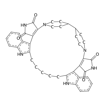 O=C1NC(=O)C2=C1c1c([nH]c3ccccc13)CCCCCc1[nH]c3ccccc3c1C1=C(C(=O)NC1=O)N1CCC(CC1)C1CCN2CC1